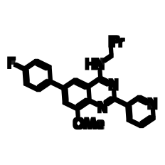 COc1cc(-c2ccc(F)cc2)cc2c(NCC(C)C)nc(-c3cccnc3)nc12